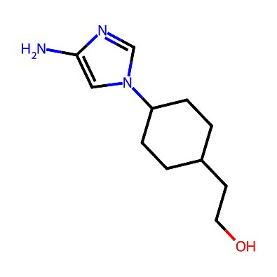 Nc1cn(C2CCC(CCO)CC2)cn1